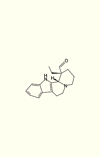 CC[C@@]1(C=O)CCCN2CCc3c([nH]c4ccccc34)[C@@H]21